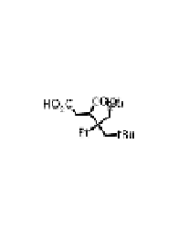 CCC(CC(C)(C)C)(CC(C)(C)C)C(CC(=O)O)C(=O)O